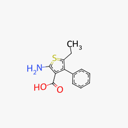 CCc1sc(N)c(C(=O)O)c1-c1ccccc1